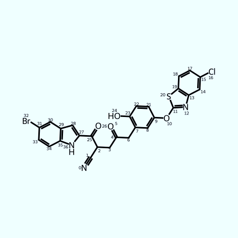 N#CC(CC(=O)Cc1cc(Oc2nc3cc(Cl)ccc3s2)ccc1O)C(=O)c1cc2cc(Br)ccc2[nH]1